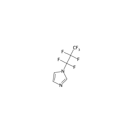 FC(F)(F)C(F)(F)C(F)(F)n1ccnc1